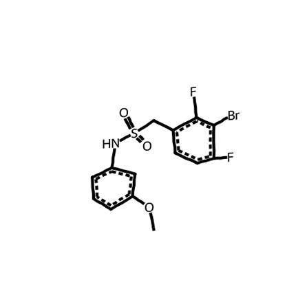 COc1cccc(NS(=O)(=O)Cc2ccc(F)c(Br)c2F)c1